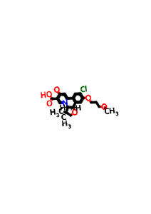 COCCCOc1cc2c(cc1Cl)-c1cc(=O)c(C(=O)O)cn1[C@H]1[C@@H]2OCC1(C)C